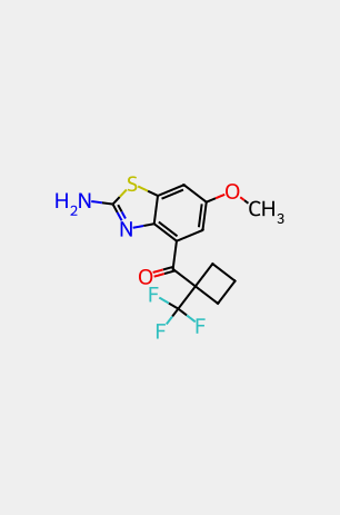 COc1cc(C(=O)C2(C(F)(F)F)CCC2)c2nc(N)sc2c1